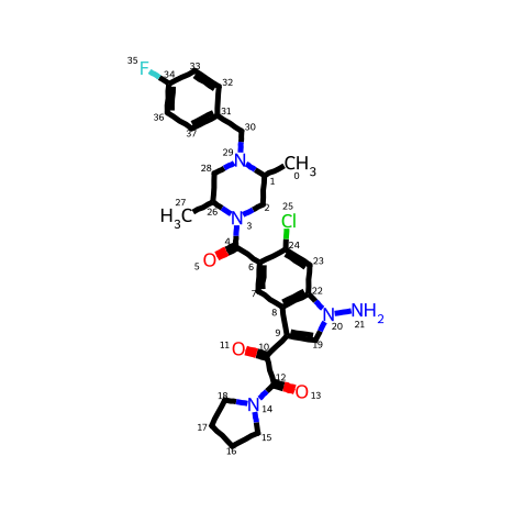 CC1CN(C(=O)c2cc3c(C(=O)C(=O)N4CCCC4)cn(N)c3cc2Cl)C(C)CN1Cc1ccc(F)cc1